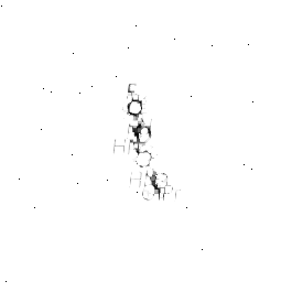 CC(C)S(=O)(=O)NC[C@H]1CC[C@H](Nc2nc(-c3ccc(F)cc3)no2)CC1